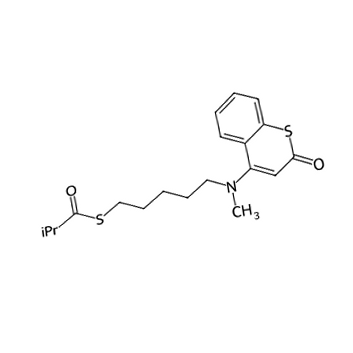 CC(C)C(=O)SCCCCCN(C)c1cc(=O)sc2ccccc12